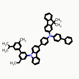 CCc1cc(-c2cc(C)cc(C(C)C)c2)cc(-n2c3ccccc3c3cc(-c4ccc(N(c5ccc(-c6ccccc6)cc5)c5ccc6c(c5)C(C)(C)c5ccccc5-6)cc4)ccc32)c1